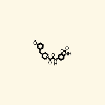 COc1cccc(CC2CCN(C(=O)C(=O)Nc3ccc4[nH]c(=O)oc4c3)CC2)c1